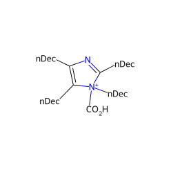 CCCCCCCCCCC1=NC(CCCCCCCCCC)=C(CCCCCCCCCC)[N+]1(CCCCCCCCCC)C(=O)O